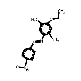 CCOc1cc(N)c(N=Nc2ccc([N+](=O)[O-])cc2)cc1C